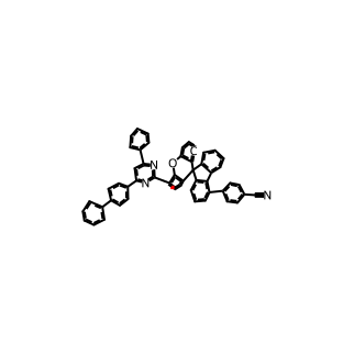 N#Cc1ccc(-c2cccc3c2-c2ccccc2C32c3ccccc3Oc3c(-c4nc(-c5ccccc5)cc(-c5ccc(-c6ccccc6)cc5)n4)cccc32)cc1